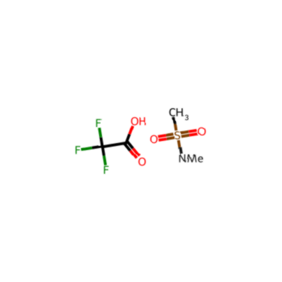 CNS(C)(=O)=O.O=C(O)C(F)(F)F